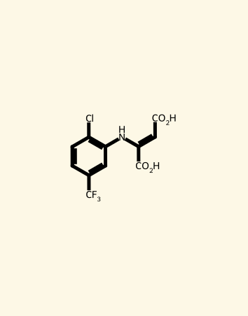 O=C(O)/C=C(\Nc1cc(C(F)(F)F)ccc1Cl)C(=O)O